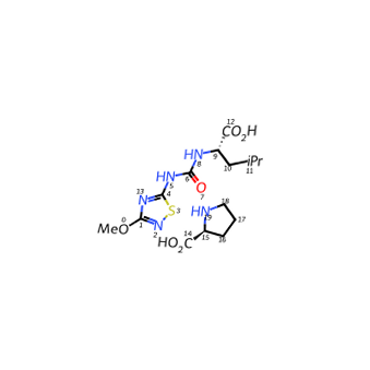 COc1nsc(NC(=O)N[C@@H](CC(C)C)C(=O)O)n1.O=C(O)[C@@H]1CCCN1